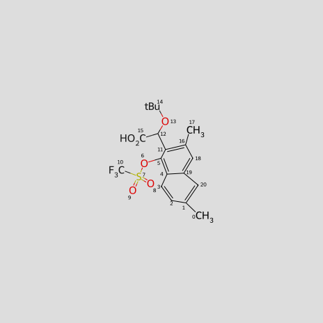 Cc1ccc2c(OS(=O)(=O)C(F)(F)F)c(C(OC(C)(C)C)C(=O)O)c(C)cc2c1